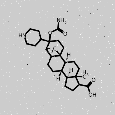 C[C@]12CCC(OC(N)=O)(C3CCNCC3)CC1CC[C@@H]1[C@@H]2CC[C@]2(C)C(C(=O)O)CC[C@@H]12